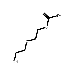 CC(C)C(=O)SCCOCCO